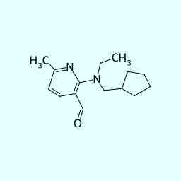 CCN(CC1CCCC1)c1nc(C)ccc1C=O